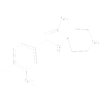 Cc1ccc(CNC2(C(N)=O)CCNCC2)cc1[N+](=O)[O-]